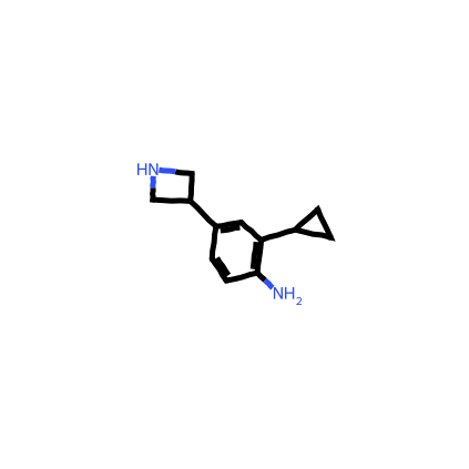 Nc1ccc(C2CNC2)cc1C1CC1